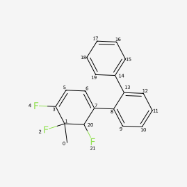 CC1(F)C(F)=CC=C(c2ccccc2-c2ccccc2)C1F